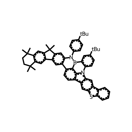 CC(C)(C)c1ccc(N2B3c4cc(C(C)(C)C)ccc4-n4c5cc6c(cc5c5ccc(c3c54)-c3cc4c(cc32)C(C)(C)c2cc3c(cc2-4)C(C)(C)CCC3(C)C)sc2ccccc26)cc1